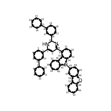 C1=C(c2cccc(-c3ccccc3)c2)NC(c2cccc(-c3ccccc3)c2)N=C1c1cccc2c1c1ccccc1n2-c1ccc2oc3ccccc3c2c1